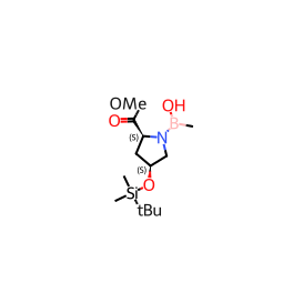 COC(=O)[C@@H]1C[C@H](O[Si](C)(C)C(C)(C)C)CN1B(C)O